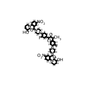 CC(C(=O)C(C)c1ccc(N2CCN(C(=O)c3cc([N+](=O)[O-])ccc3N3CCCC(O)C3)CC2)c(F)c1)c1ccc(N2CCN(C(=O)c3cc([N+](=O)[O-])ccc3N3CCCC(O)C3)CC2)c(F)c1